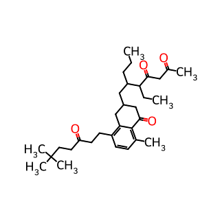 CCCC(CC1CC(=O)c2c(C)ccc(CCC(=O)CCC(C)(C)C)c2C1)C(CC)C(=O)CC(C)=O